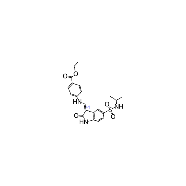 CCOC(=O)c1ccc(N/C=C2\C(=O)Nc3ccc(S(=O)(=O)NC(C)C)cc32)cc1